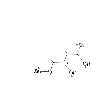 [CH2]C[C@H](O)C[C@H](O)[CH]OC(C)(C)C